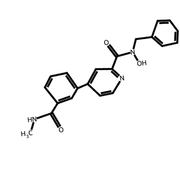 CNC(=O)c1cccc(-c2ccnc(C(=O)N(O)Cc3ccccc3)c2)c1